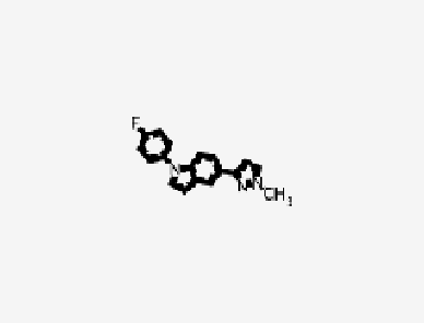 Cn1ccc(-c2ccc3c(ccn3-c3ccc(F)cc3)c2)n1